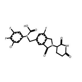 O=C1CCC(N2Cc3c(F)cc(CN(C(=O)O)c4cc(F)c(F)c(Cl)c4)cc3C2=O)C(=O)N1